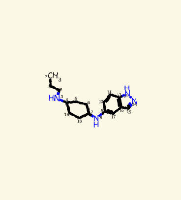 CCCNC1CCC(Nc2ccc3[nH]ncc3c2)CC1